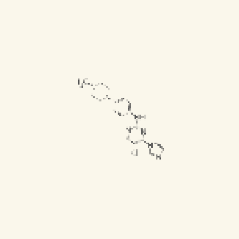 CN1CCN(c2ccc(Nc3ncc(Cl)c(-n4ccnc4)n3)cc2)CC1